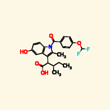 CCC(C)C(C(=O)O)c1c(C)n(C(=O)c2ccc(OC(F)F)cc2)c2ccc(O)cc12